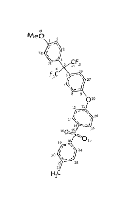 COc1ccc(C(c2ccc(Oc3ccc(S(=O)(=O)c4ccc(C)cc4)cc3)cc2)(C(F)(F)F)C(F)(F)F)cc1